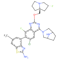 Nc1nc2c(-c3c(Cl)cc4c(N5CC6CCC(C5)N6)nc(OC[C@@]56CCCN5C[C@H](F)C6)nc4c3F)cc(C(F)(F)F)cc2s1